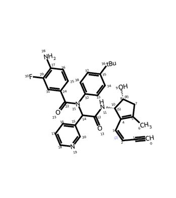 C#C/C=C\C1=C(C)C[C@@H](O)[C@H]1NC(=O)C(c1cccnc1)N(C(=O)c1ccc(N)c(F)c1)c1ccc(C(C)(C)C)cc1